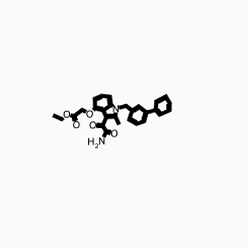 CCOC(=O)COc1cccc2c1c(C(=O)C(N)=O)c(C)n2Cc1cccc(-c2ccccc2)c1